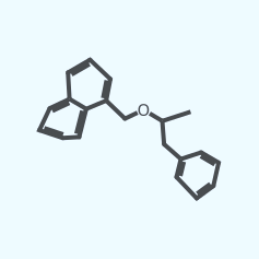 CC(Cc1ccccc1)OCc1cccc2ccccc12